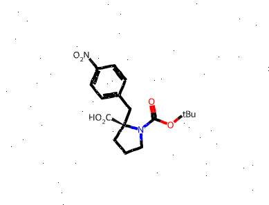 CC(C)(C)OC(=O)N1CCC[C@@]1(Cc1ccc([N+](=O)[O-])cc1)C(=O)O